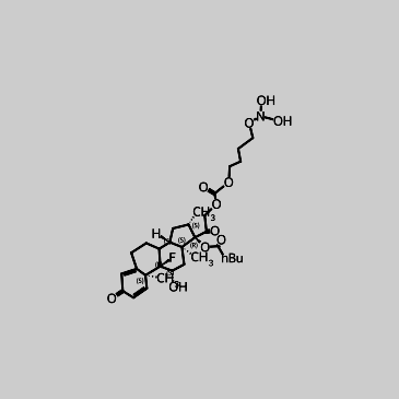 CCCCC(=O)O[C@]1(C(=O)COC(=O)OCCCCON(O)O)[C@@H](C)C[C@H]2C3CCC4=CC(=O)C=C[C@]4(C)[C@@]3(F)[C@@H](O)C[C@@]21C